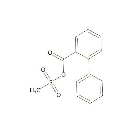 CS(=O)(=O)OC(=O)c1ccccc1-c1ccccc1